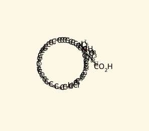 CN(C)C1(c2ccccn2)CCCCCCCCCCCCCCCCCCCCCCCCCCCCCCCCCCCCCCCCCCCCCCCCC2(CC1)CC(=O)N(CCCC(=O)O)C2.Cl